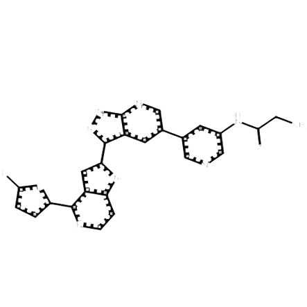 CCC(O)Nc1cncc(-c2cnc3[nH]nc(-c4cc5c(-c6ccc(F)s6)nccc5[nH]4)c3c2)c1